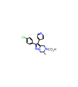 C[C@H]1Cn2nc(-c3ccc(Cl)cc3)c(-c3ccncc3)c2CN1C(=O)O